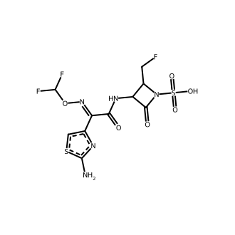 Nc1nc(/C(=N\OC(F)F)C(=O)NC2C(=O)N(S(=O)(=O)O)C2CF)cs1